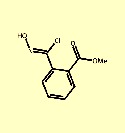 COC(=O)c1ccccc1C(Cl)=NO